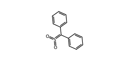 O=S(=O)=C(c1ccccc1)c1ccccc1